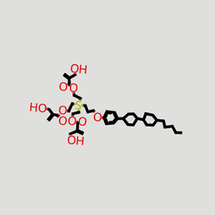 C=C(CO)C(=O)OCCS(CCCOc1ccc(C2CCC(C3CCC(CCCCC)CC3)CC2)cc1)(CCOC(=O)C(=C)CO)CCOC(=O)C(=C)CO